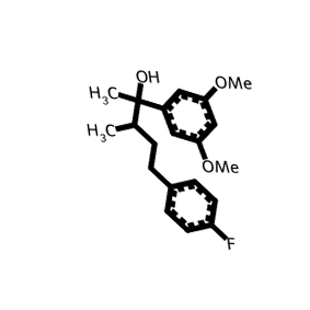 COc1cc(OC)cc(C(C)(O)C(C)CCc2ccc(F)cc2)c1